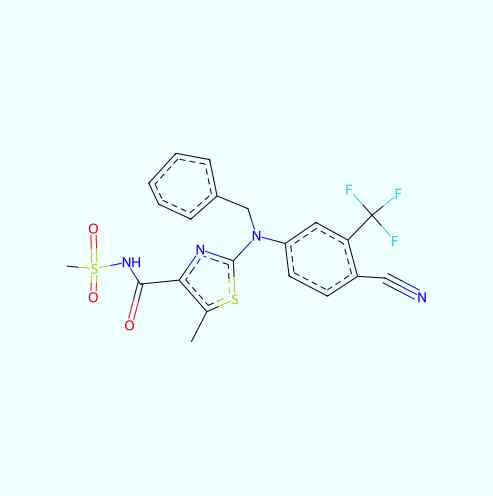 Cc1sc(N(Cc2ccccc2)c2ccc(C#N)c(C(F)(F)F)c2)nc1C(=O)NS(C)(=O)=O